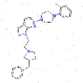 Cc1ccccc1N1CCN(c2ccc3ccn(CCN4CCC(Cc5ccccc5)C4)c3n2)CC1